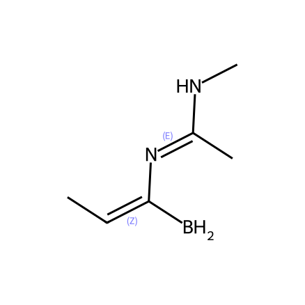 BC(=C/C)/N=C(\C)NC